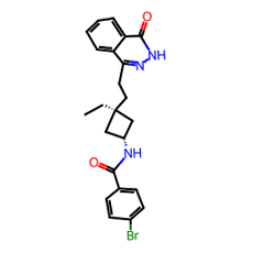 CC[C@]1(CCc2n[nH]c(=O)c3ccccc23)C[C@H](NC(=O)c2ccc(Br)cc2)C1